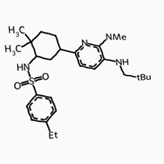 CCc1ccc(S(=O)(=O)NC2CC(c3ccc(NCC(C)(C)C)c(NC)n3)CCC2(C)C)cc1